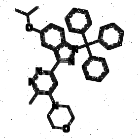 Cc1nnc(-c2nn(C(c3ccccc3)(c3ccccc3)c3ccccc3)c3ccc(OC(C)C)cc23)cc1N1CCOCC1